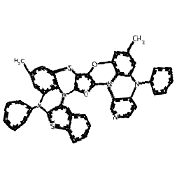 Cc1cc2c3c(c1)N(c1ccccc1)c1ccncc1B3c1oc3c(c1O2)Sc1cc(C)cc2c1B3c1c(sc3ccccc13)N2c1ccccc1